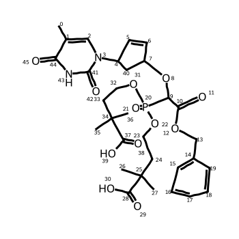 Cc1cn(C2C=CC(OC(C(=O)OCc3ccccc3)P(=O)(OCCC(C)(C)C(=O)O)OCCC(C)(C)C(=O)O)C2)c(=O)[nH]c1=O